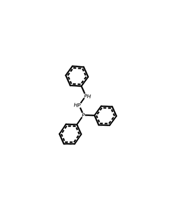 c1ccc(PPP(c2ccccc2)c2ccccc2)cc1